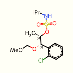 COCO[C@@H](c1ccccc1Cl)[C@H](C)OS(=O)(=O)NC(C)C